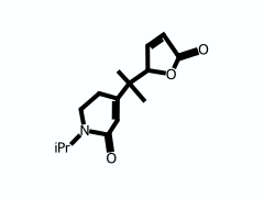 CC(C)N1CCC(C(C)(C)C2C=CC(=O)O2)=CC1=O